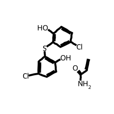 C=CC(N)=O.Oc1ccc(Cl)cc1Sc1cc(Cl)ccc1O